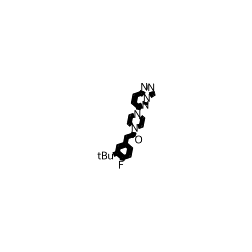 CC(C)(C)c1cc(CC(=O)N2CCN(c3ccc4nncn4n3)CC2)ccc1F